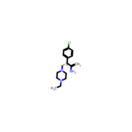 C=C(N)[C@H](CN1CCN(CC)CC1)c1ccc(Cl)cc1